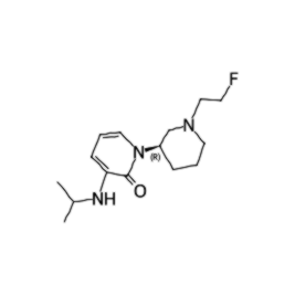 CC(C)Nc1cccn([C@@H]2CCCN(CCF)C2)c1=O